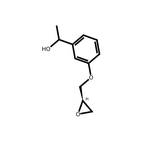 CC(O)c1cccc(OC[C@H]2CO2)c1